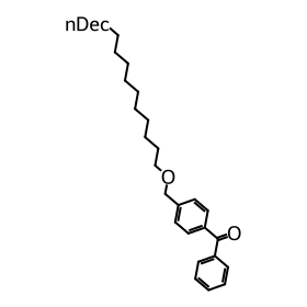 CCCCCCCCCCCCCCCCCCCCOCc1ccc(C(=O)c2ccccc2)cc1